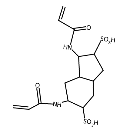 C=CC(=O)NC1CC2C(CC1S(=O)(=O)O)CC(S(=O)(=O)O)C2NC(=O)C=C